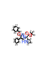 CC(C)(C)OC(=O)C([C@H]1CCCN1)n1cc(-c2ccccc2)c(OCc2ccccc2)n1